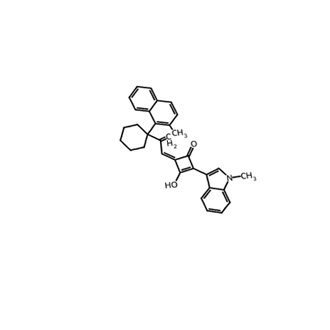 C=C(/C=C1\C(=O)C(c2cn(C)c3ccccc23)=C1O)C1(c2c(C)ccc3ccccc23)CCCCC1